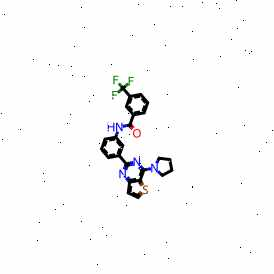 O=C(Nc1cccc(-c2nc(N3CCCC3)c3sccc3n2)c1)c1cccc(C(F)(F)F)c1